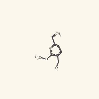 C=Cc1ccc(CCl)c(OC)n1